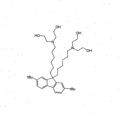 CC(C)(C)c1ccc2c(c1)C(CCCCCCN(CCO)CCO)(CCCCCCN(CCO)CCO)c1cc(C(C)(C)C)ccc1-2